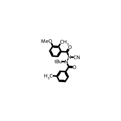 COc1cccc(C(=O)N(C#N)N(C(=O)c2cccc(C)c2)C(C)(C)C)c1C